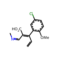 C=C/C(=C(\C=N/C)C(=O)O)c1cc(Cl)ccc1OC